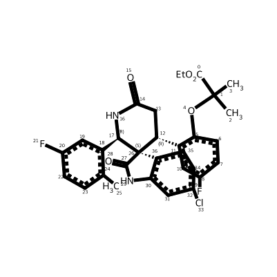 CCOC(=O)C(C)(C)Oc1ccc(F)cc1[C@H]1CC(=O)N[C@H](c2cc(F)ccc2C)[C@]12C(=O)Nc1cc(Cl)ccc12